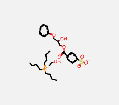 CCCC[P+](CCO)(CCCC)CCCC.O=C(OCC(O)COc1ccccc1)c1ccc(S(=O)(=O)[O-])cc1